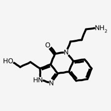 NCCCn1c(=O)c2c(CCO)[nH]nc2c2ccccc21